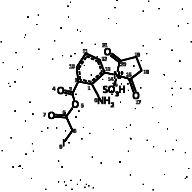 Nc1c(C(=O)OC(=O)CI)cccc1[N+]1(S(=O)(=O)O)C(=O)CCC1=O